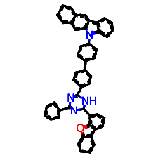 c1ccc(C2=NC(c3cccc4c3oc3ccccc34)NC(c3ccc(-c4ccc(-n5c6ccccc6c6cc7ccccc7cc65)cc4)cc3)=N2)cc1